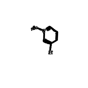 CCCC[n+]1cccc(CC)c1